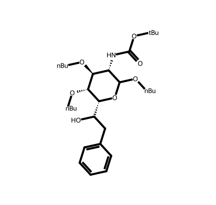 CCCCOC1O[C@H](C(O)Cc2ccccc2)[C@H](OCCCC)[C@@H](OCCCC)[C@@H]1NC(=O)OC(C)(C)C